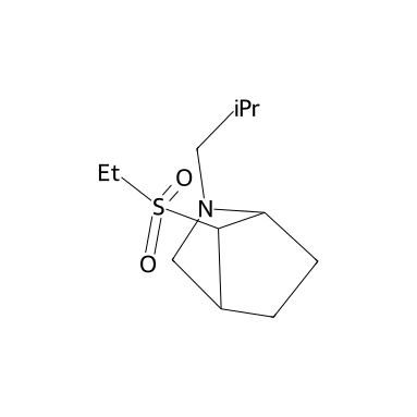 CCS(=O)(=O)C1C2CCC1N(CC(C)C)C2